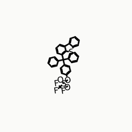 O=S(=O)(Oc1ccc(C(c2ccccc2)(c2ccccc2)c2cccc3c2sc2ccccc23)cc1)C(F)(F)F